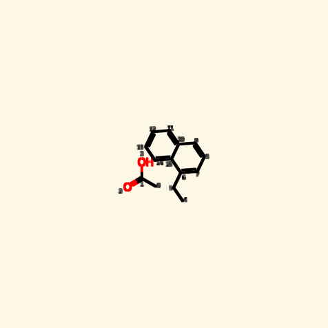 CC(=O)O.CCc1cccc2ccccc12